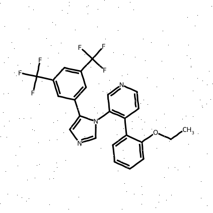 CCOc1ccccc1-c1ccncc1-n1cncc1-c1cc(C(F)(F)F)cc(C(F)(F)F)c1